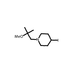 COC(C)(C)CN1CCC(I)CC1